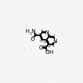 NC(=O)c1cnc2cncc(C(=O)O)c2c1